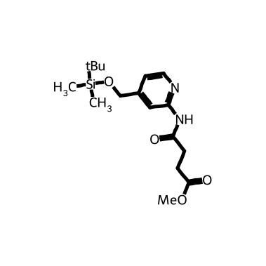 COC(=O)CCC(=O)Nc1cc(CO[Si](C)(C)C(C)(C)C)ccn1